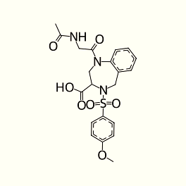 COc1ccc(S(=O)(=O)N2Cc3ccccc3N(C(=O)CNC(C)=O)CC2C(=O)O)cc1